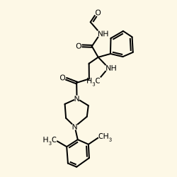 CNC(CCC(=O)N1CCN(c2c(C)cccc2C)CC1)(C(=O)NC=O)c1ccccc1